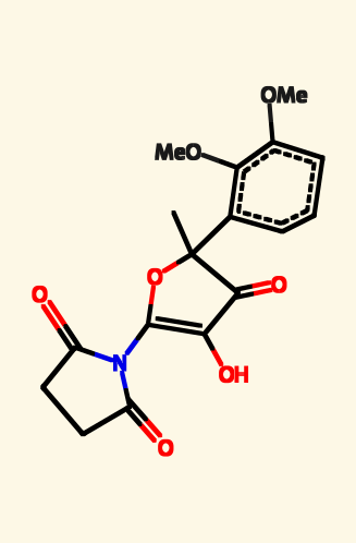 COc1cccc(C2(C)OC(N3C(=O)CCC3=O)=C(O)C2=O)c1OC